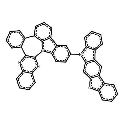 c1ccc2c(c1)-c1nc3ccccc3nc1-n1c3ccc(-n4c5ccccc5c5cc6c(cc54)oc4ccccc46)cc3c3cccc-2c31